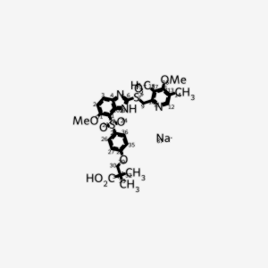 COc1ccc2nc([S+]([O-])Cc3ncc(C)c(OC)c3C)[nH]c2c1S(=O)(=O)c1ccc(OCC(C)(C)C(=O)O)cc1.[Na]